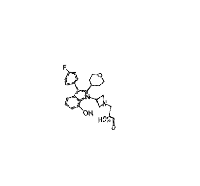 O=C[C@@H](O)CN1CC(n2c(C3CCOCC3)c(-c3ccc(F)cc3)c3cccc(O)c32)C1